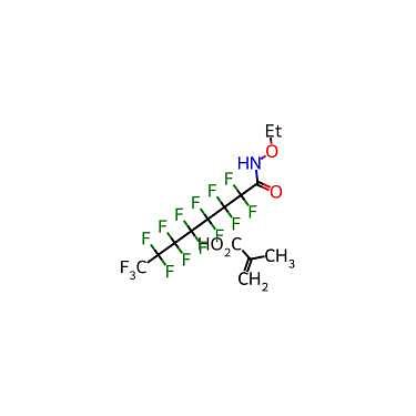 C=C(C)C(=O)O.CCONC(=O)C(F)(F)C(F)(F)C(F)(F)C(F)(F)C(F)(F)C(F)(F)C(F)(F)F